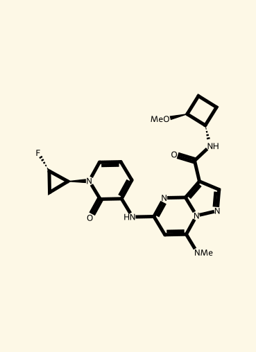 CNc1cc(Nc2cccn([C@H]3C[C@@H]3F)c2=O)nc2c(C(=O)N[C@H]3CC[C@@H]3OC)cnn12